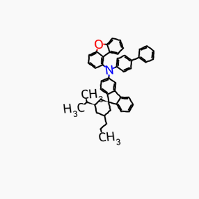 CCCC1C[C@@H](C(C)C)C[C@]2(C1)c1ccccc1-c1cc(N(c3ccc(-c4ccccc4)cc3)c3cccc4oc5ccccc5c34)ccc12